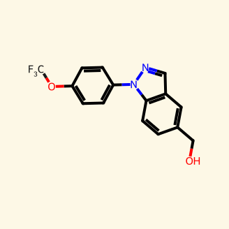 OCc1ccc2c(cnn2-c2ccc(OC(F)(F)F)cc2)c1